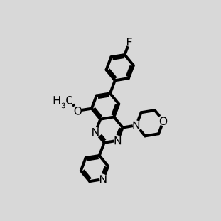 COc1cc(-c2ccc(F)cc2)cc2c(N3CCOCC3)nc(-c3cccnc3)nc12